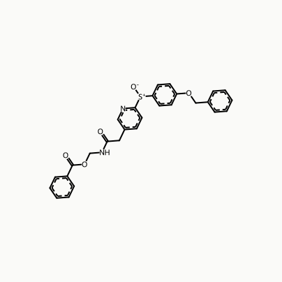 O=C(Cc1ccc([S+]([O-])c2ccc(OCc3ccccc3)cc2)nc1)NCOC(=O)c1ccccc1